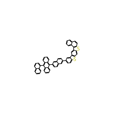 c1ccc2c(-c3c4ccccc4c(-c4ccc5cc(-c6ccc7sc8cc9sc%10ccc%11ccccc%11c%10c9cc8c7c6)ccc5c4)c4ccccc34)cccc2c1